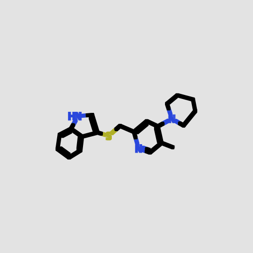 Cc1cnc(CSc2c[nH]c3ccccc23)cc1N1CCCCC1